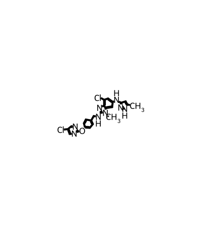 Cc1cc(Nc2cc(Cl)c3nc(NCc4ccc(Oc5ncc(Cl)cn5)cc4)n(C)c3c2)n[nH]1